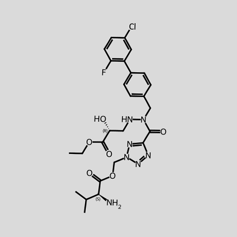 CCOC(=O)[C@H](O)CNN(Cc1ccc(-c2cc(Cl)ccc2F)cc1)C(=O)c1nnn(COC(=O)[C@@H](N)C(C)C)n1